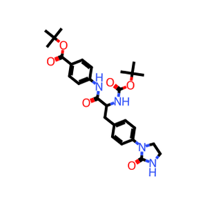 CC(C)(C)OC(=O)NC(Cc1ccc(N2CCNC2=O)cc1)C(=O)Nc1ccc(C(=O)OC(C)(C)C)cc1